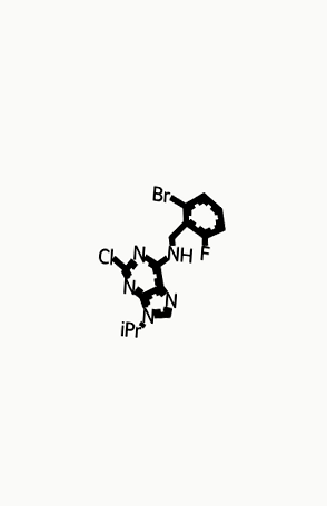 CC(C)n1cnc2c(NCc3c(F)cccc3Br)nc(Cl)nc21